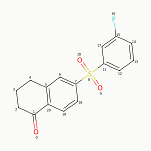 O=C1CCCc2cc(S(=O)(=O)c3cccc(F)c3)ccc21